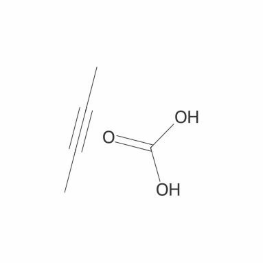 CC#CC.O=C(O)O